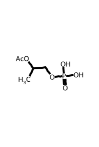 CC(=O)OC(C)COP(=O)(O)O